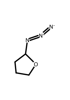 [N-]=[N+]=NC1CCCO1